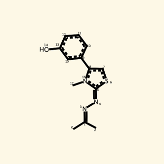 CC(C)=NN=c1scc(-c2cccc(O)c2)n1C